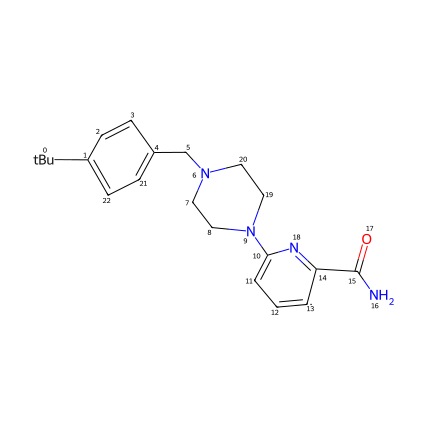 CC(C)(C)c1ccc(CN2CCN(c3cc[c]c(C(N)=O)n3)CC2)cc1